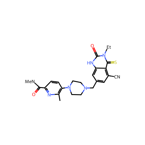 CCn1c(=O)[nH]c2cc(CN3CCN(c4ccc(C(=O)NC)nc4C)CC3)cc(C#N)c2c1=S